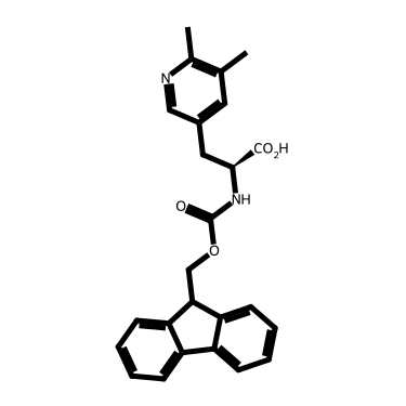 Cc1cc(C[C@H](NC(=O)OCC2c3ccccc3-c3ccccc32)C(=O)O)cnc1C